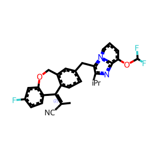 C/C(C#N)=C1\c2ccc(Cc3c(C(C)C)nc4c(OC(F)F)cccn34)cc2COc2cc(F)ccc21